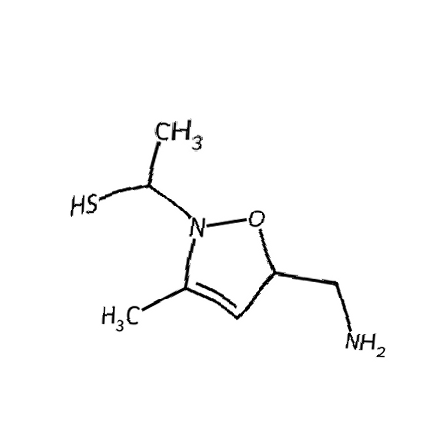 CC1=CC(CN)ON1C(C)S